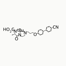 C[C@H](C(=O)N1CCN(CCCOc2ccc(-c3ccc(C#N)cc3)cc2)CC1)N(C(=O)O)C(C)(C)C